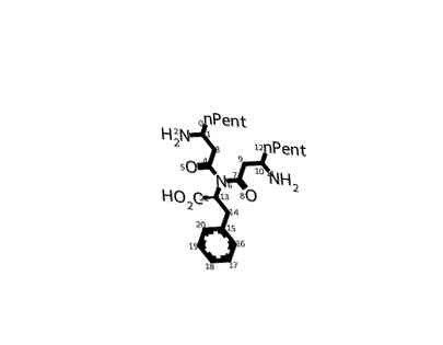 CCCCCC(N)CC(=O)N(C(=O)CC(N)CCCCC)[C@@H](Cc1ccccc1)C(=O)O